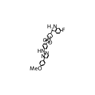 COc1ccc(-c2ccnc(Nc3ccc(S(=O)(=O)N4CCC(Cc5ccc(F)cc5N)CC4)cc3)n2)cc1